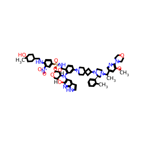 COc1cc([C@H](C)N2CCN(C3CC4(CCN(c5ccc(C(=O)NS(=O)(=O)c6ccc(NCC7CCC(C)(O)CC7)c([N+](=O)[O-])c6)c(N6c7cc8cc[nH]c8nc7O[C@H]7COCC[C@@H]76)c5)CC4)C3)[C@H](c3ccccc3C)C2)cnc1N1CCOCC1